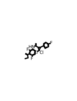 C=C(CC)c1c(F)ccc(NC(=C)C2C(c3ccc(F)cc3)C2(Cl)Cl)c1F